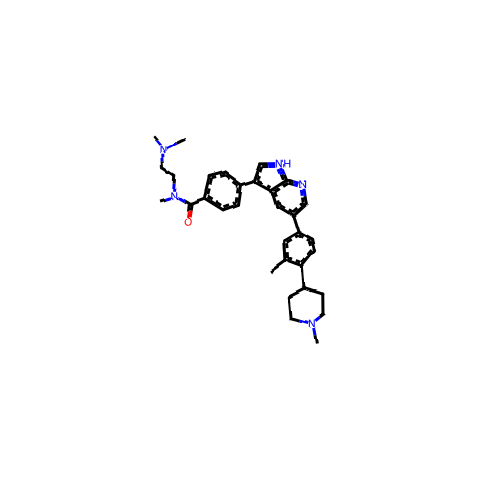 Cc1cc(-c2cnc3[nH]cc(-c4ccc(C(=O)N(C)CCN(C)C)cc4)c3c2)ccc1C1CCN(C)CC1